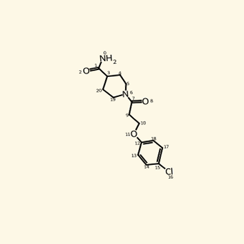 NC(=O)C1CCN(C(=O)CCOc2ccc(Cl)cc2)CC1